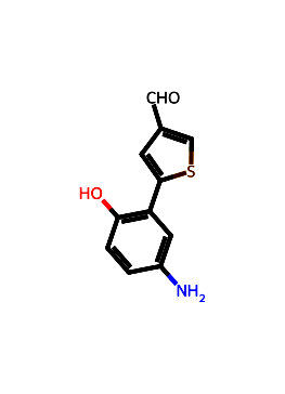 Nc1ccc(O)c(-c2cc(C=O)cs2)c1